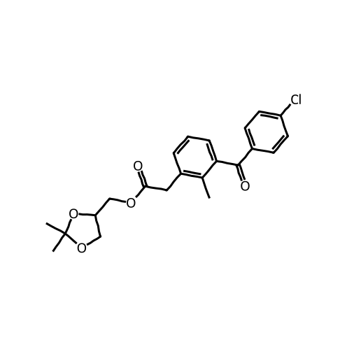 Cc1c(CC(=O)OCC2COC(C)(C)O2)cccc1C(=O)c1ccc(Cl)cc1